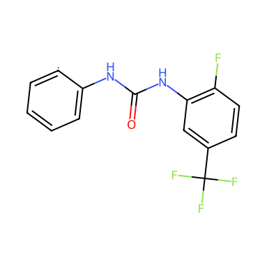 O=C(Nc1[c]cccc1)Nc1cc(C(F)(F)F)ccc1F